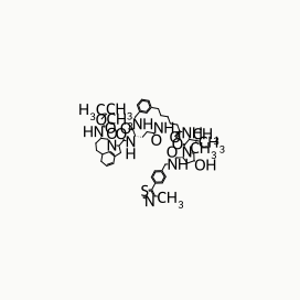 Cc1ncsc1-c1ccc(CNC(=O)[C@@H]2C[C@@H](O)CN2C(=O)[C@@H](NC(=O)CCCCCc2cccc(CNC(=O)[C@H](CCC(N)=O)NC(=O)C3CC4=C5C(CC=C4)CC[C@H](NC(=O)OC(C)(C)C)C(=O)N53)c2)C(C)(C)C)cc1